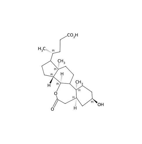 C[C@H](CCC(=O)O)C1CC[C@H]2[C@@H]3OC(=O)C[C@@H]4C[C@H](O)CC[C@]4(C)C3CC[C@]12C